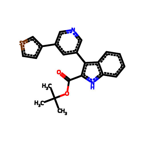 CC(C)(C)OC(=O)c1[nH]c2ccccc2c1-c1cncc(-c2ccsc2)c1